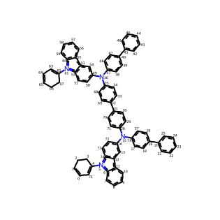 C1=CCCC(n2c3ccccc3c3cc(N(c4ccc(-c5ccccc5)cc4)c4ccc(-c5ccc(N(c6ccc(-c7ccccc7)cc6)c6ccc7c(c6)c6ccccc6n7C6=CC=CCC6)cc5)cc4)ccc32)=C1